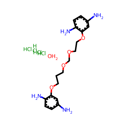 Cl.Cl.Cl.Cl.Nc1ccc(N)c(OCCCOCOCCOc2cc(N)ccc2N)c1.O